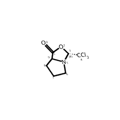 O=C1O[C@H](C(Cl)(Cl)Cl)N2CCCC12